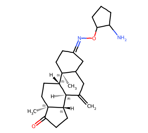 C=C1CC2CC(=NOC3CCCC3N)CC[C@]2(C)[C@H]2CC[C@]3(C)C(=O)CC[C@H]3[C@H]12